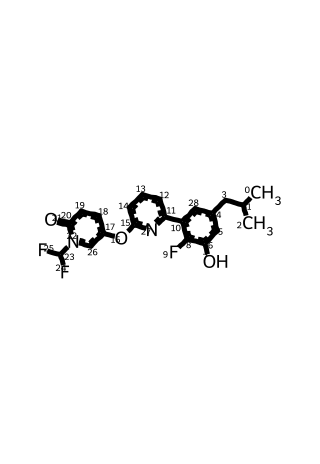 CC(C)Cc1cc(O)c(F)c(-c2cccc(Oc3ccc(=O)n(C(F)F)c3)n2)c1